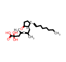 CCCCCCC=C[C@H]1CCC(=O)[C@@H]1CC(C)=C=C(C)CC(O)(O)C(=O)O